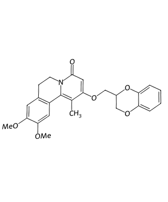 COc1cc2c(cc1OC)-c1c(C)c(OCC3COc4ccccc4O3)cc(=O)n1CC2